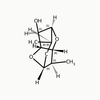 C[C@@H]1[C@H]2O[C@@H]3[C@H](O)[C@H]2O[C@@H]1C[C@H]3C